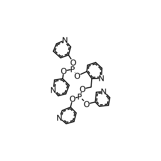 c1cncc(OP(OCc2ncccc2OP(Oc2cccnc2)Oc2cccnc2)Oc2cccnc2)c1